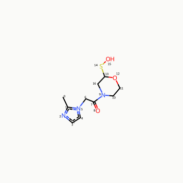 Cc1n[c]cn1CC(=O)N1CCOC(SO)C1